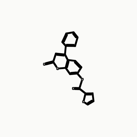 O=C(Oc1ccc2c(-c3ccccc3)cc(=O)oc2c1)c1ccco1